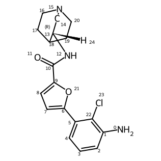 Nc1cccc(-c2ccc(C(=O)N[C@H]3CN4CCC3CC4)o2)c1Cl